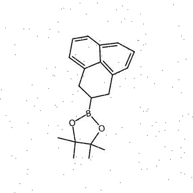 CC1(C)OB(C2Cc3cccc4cccc(c34)C2)OC1(C)C